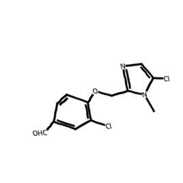 Cn1c(Cl)cnc1COc1ccc(C=O)cc1Cl